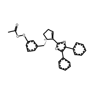 CC(=O)OOc1cccc(C[C@@H]2CCC=C2c2nc(-c3ccccc3)c(-c3ccccc3)o2)c1